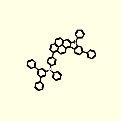 c1ccc(-c2cc(-c3ccccc3)cc(N(c3ccccc3)c3ccc(-c4ccc5ccc6cc7c(c8ccc4c5c68)c4ccc(-c5ccccc5)cc4n7-c4ccccc4)cc3)c2)cc1